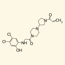 C=CC(=O)N1CCC(N2CCN(C(=O)CNc3cc(Cl)c(Cl)cc3O)CC2)C1